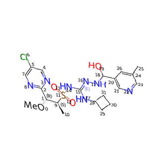 CO[C@H](c1ncc(Cl)cn1)[C@H](C)S(=O)(=O)N/C(=N/NC(O)c1cncc(C)c1)NC1CCC1